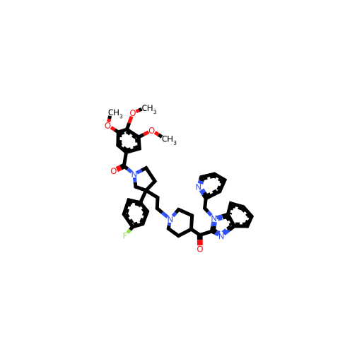 COc1cc(C(=O)N2CCC(CCN3CCC(C(=O)c4nc5ccccc5n4Cc4ccccn4)CC3)(c3ccc(F)cc3)C2)cc(OC)c1OC